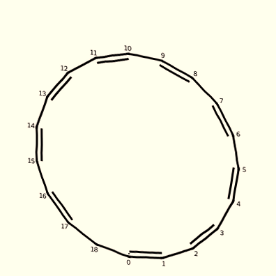 [C]1=C/C=C\C=C/C=C\C=C/C=C\C=C/C=C\C=C/C\1